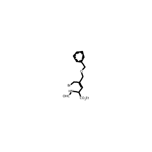 CCOC(=O)C(C=C(CBr)COCc1ccccc1)NC=O